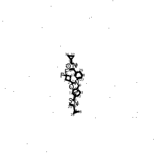 O=C(C1CC(F)(F)C1)N(CC12CCC(c3nc(C4CC4)cs3)(CC1)CC2)c1cccc(-c2coc(C3CC3)n2)c1